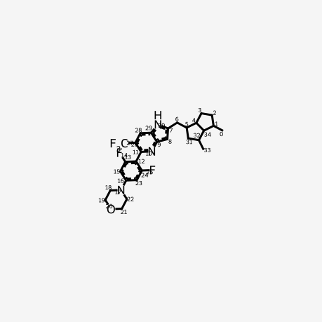 CC1CCC2C(Cc3cc4nc(-c5c(F)cc(N6CCOCC6)cc5F)c(C(F)(F)F)cc4[nH]3)CC(C)C12